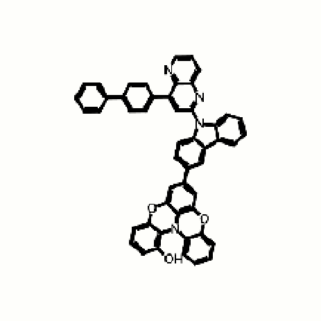 Oc1cccc2c1N1c3ccccc3Oc3cc(-c4ccc5c(c4)c4ccccc4n5-c4cc(-c5ccc(-c6ccccc6)cc5)c5ncccc5n4)cc(c31)O2